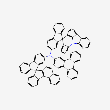 c1ccc2c(c1)-c1ccc(N(c3ccc4c(c3)C3(c5ccccc5-4)c4ccccc4-n4c5ccccc5c5cccc3c54)c3ccc4c5ccccc5c5ccccc5c4c3)cc1C21c2ccccc2-c2c1ccc1ccccc21